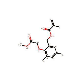 C=C(C)C(=O)OCc1cc(C)cc(C)c1OCC(=O)OC(C)(C)C